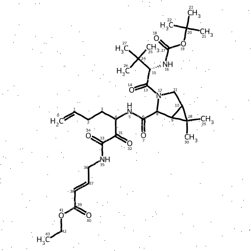 C=CCCC(NC(=O)C1C2C(CN1C(=O)[C@@H](NC(=O)OC(C)(C)C)C(C)(C)C)C2(C)C)C(=O)C(=O)NC/C=C/C(=O)OCC